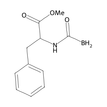 BC(=O)NC(Cc1ccccc1)C(=O)OC